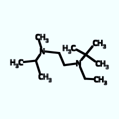 CCN(CCN(C)C(C)C)C(C)(C)C